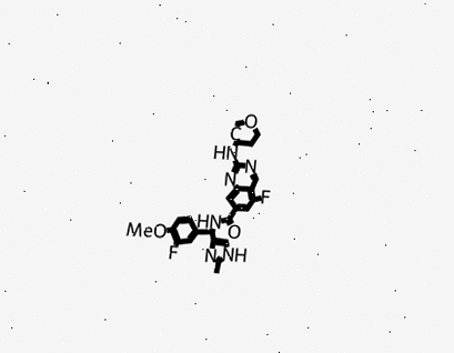 COc1ccc(C(NC(=O)c2cc(F)c3cnc(NC4CCOCC4)nc3c2)c2c[nH]c(C)n2)cc1F